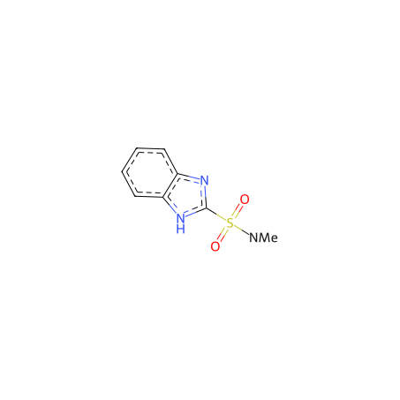 CNS(=O)(=O)c1nc2ccccc2[nH]1